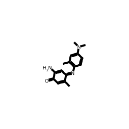 CC1=CC(=O)C(N)=CC1=Nc1ccc(N(C)C)cc1C